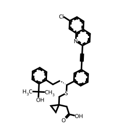 CC(C)(O)c1ccccc1CC[C@@H](SCC1(CC(=O)O)CC1)c1cccc(C#Cc2ccc3ccc(Cl)cc3n2)c1